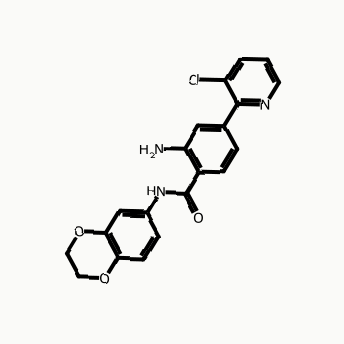 Nc1cc(-c2ncccc2Cl)ccc1C(=O)Nc1ccc2c(c1)OCCO2